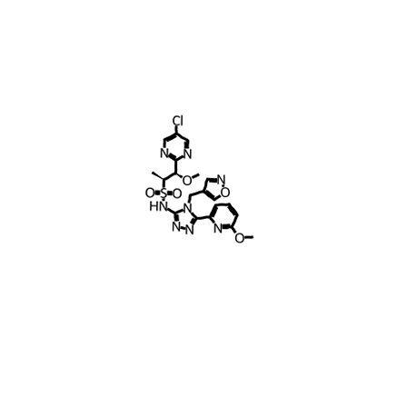 COc1cccc(-c2nnc(NS(=O)(=O)[C@@H](C)[C@H](OC)c3ncc(Cl)cn3)n2Cc2cnoc2)n1